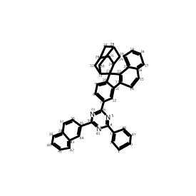 c1ccc(-c2nc(-c3ccc4c(c3)-c3ccc5ccccc5c3C43C4CC5CC(C4)CC3C5)nc(-c3ccc4ccccc4c3)n2)cc1